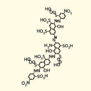 Nc1c(N=Nc2cc(S(=O)(=O)O)c3cc(S(=O)(=O)O)c(N=Nc4ccc([N+](=O)[O-])cc4SOOO)c(O)c3c2)cc(S(=O)(=O)O)c2cc(SOOO)c(N=Nc3ccc4c(O)c(N=Nc5ccc([N+](=O)[O-])cc5S(=O)(=O)O)c(SOOO)cc4c3S(=O)(=O)O)c(O)c12